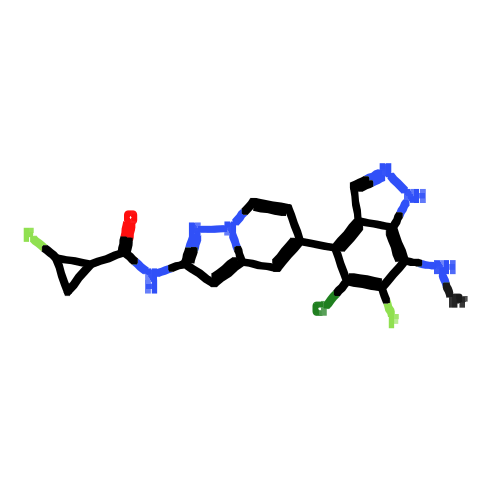 CC(C)Nc1c(F)c(Cl)c(-c2ccn3nc(NC(=O)C4CC4F)cc3c2)c2cn[nH]c12